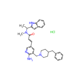 CC(c1cc2ccccc2[nH]1)N(C)C(=O)C=Cc1cnc(N)c(CN2CCC(Cc3ccccc3)CC2)c1.Cl